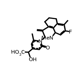 C=C(Cn1c(C)cc(C(O)C(=O)O)cc1=O)C1=C2C(=C(C)C(F)=CC2NC)CCC1